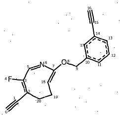 C#C/C1=C(F)/C=N\C(OCc2cccc(C#C)c2)=C\CC1